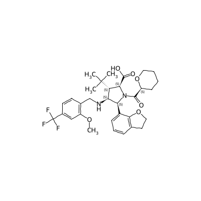 COc1cc(C(F)(F)F)ccc1CN[C@H]1[C@H](C(C)(C)C)[C@@H](C(=O)O)N(C(=O)[C@@H]2CCCCO2)[C@H]1c1cccc2c1OCC2